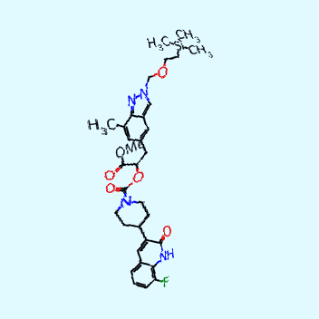 COC(=O)[C@@H](Cc1cc(C)c2nn(COCC[Si](C)(C)C)cc2c1)OC(=O)N1CCC(c2cc3cccc(F)c3[nH]c2=O)CC1